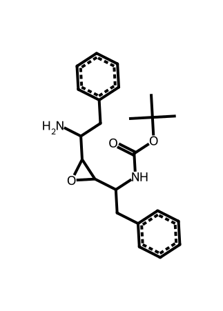 CC(C)(C)OC(=O)NC(Cc1ccccc1)C1OC1C(N)Cc1ccccc1